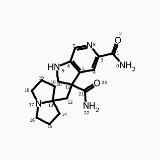 NC(=O)c1cc2c(cn1)NCC2(CC12CCCN1CCC2)C(N)=O